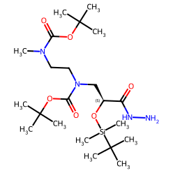 CN(CCN(C[C@H](O[Si](C)(C)C(C)(C)C)C(=O)NN)C(=O)OC(C)(C)C)C(=O)OC(C)(C)C